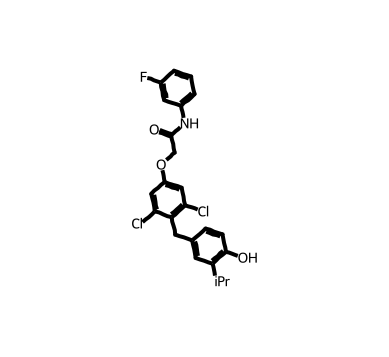 CC(C)c1cc(Cc2c(Cl)cc(OCC(=O)Nc3cccc(F)c3)cc2Cl)ccc1O